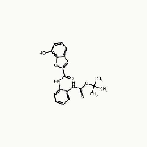 CC(C)(C)OC(=O)Nc1ccccc1NC(=O)c1cc2cccc(O)c2o1